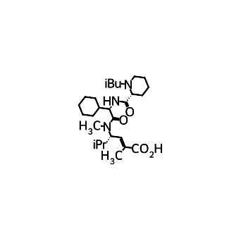 CCC(C)N1CCCC[C@@H]1C(=O)N[C@H](C(=O)N(C)[C@H](/C=C(\C)C(=O)O)C(C)C)C1CCCCC1